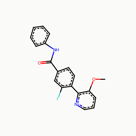 COc1cccnc1-c1ccc(C(=O)Nc2ccccc2)cc1F